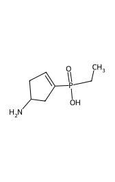 CCP(=O)(O)C1=CCC(N)C1